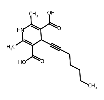 CCCCCC#CC1C(C(=O)O)=C(C)NC(C)=C1C(=O)O